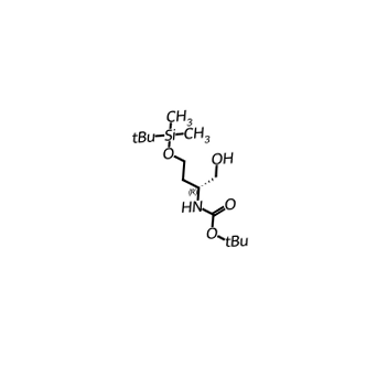 CC(C)(C)OC(=O)N[C@@H](CO)CCO[Si](C)(C)C(C)(C)C